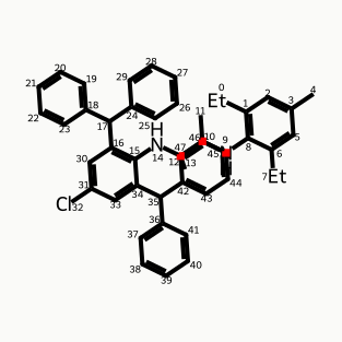 CCc1cc(C)cc(CC)c1NC(C)C(C)Nc1c(C(c2ccccc2)c2ccccc2)cc(Cl)cc1C(c1ccccc1)c1ccccc1